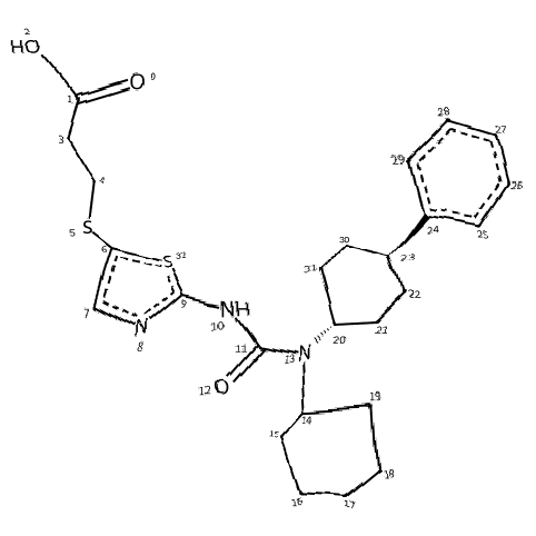 O=C(O)CCSc1cnc(NC(=O)N(C2CCCCC2)[C@H]2CC[C@H](c3ccccc3)CC2)s1